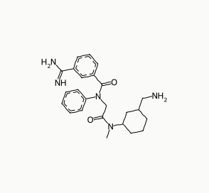 CN(C(=O)CN(C(=O)c1cccc(C(=N)N)c1)c1ccccc1)C1CCCC(CN)C1